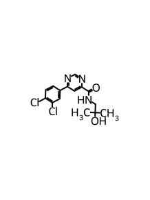 CC(C)(O)CNC(=O)c1cc(-c2ccc(Cl)c(Cl)c2)ncn1